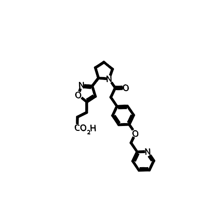 O=C(O)CCc1cc(C2CCCN2C(=O)Cc2ccc(OCc3ccccn3)cc2)no1